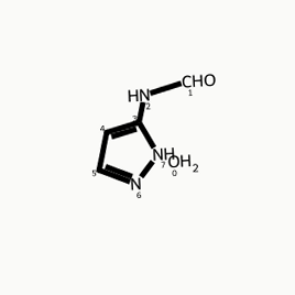 O.O=CNc1ccn[nH]1